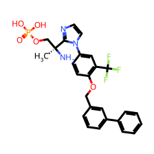 C[C@](N)(COP(=O)(O)O)c1nccn1-c1ccc(OCc2cccc(-c3ccccc3)c2)c(C(F)(F)F)c1